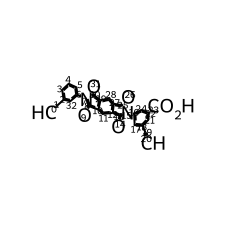 C#Cc1cccc(-n2c(=O)c3cc4c(=O)n(-c5cc(C#C)cc(C(=O)O)c5)c(=O)c4cc3c2=O)c1